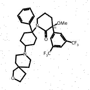 CO[C@]1(c2cc(C(F)(F)F)cc(C(F)(F)F)c2)CCCN(C2(c3ccccc3)CCC(N3CCC4(CCOC4)CC3)CC2)C1=O